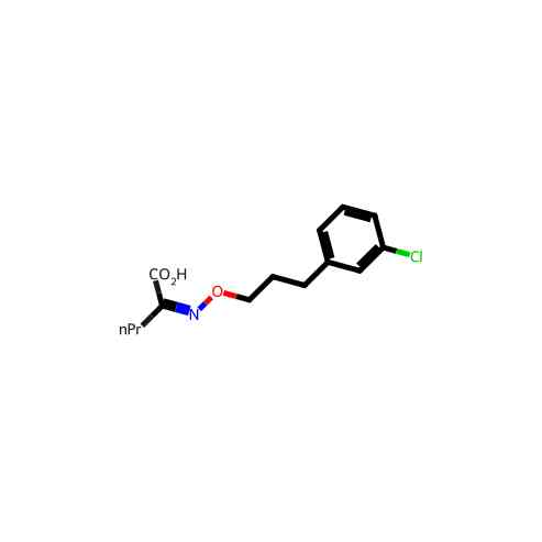 CCCC(=NOCCCc1cccc(Cl)c1)C(=O)O